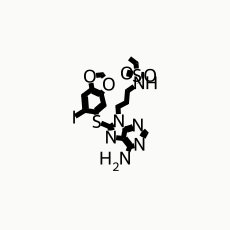 CCS(=O)(=O)NCCCn1c(Sc2cc3c(cc2I)OCO3)nc2c(N)ncnc21